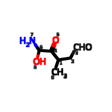 CC(CC=O)C(=O)C(N)O